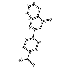 O=C(O)c1ccc(-c2cc(=O)c3ccccc3o2)cc1